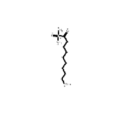 CCCCCCCCCCCCCCCCCC(=O)P(C)(C)=O